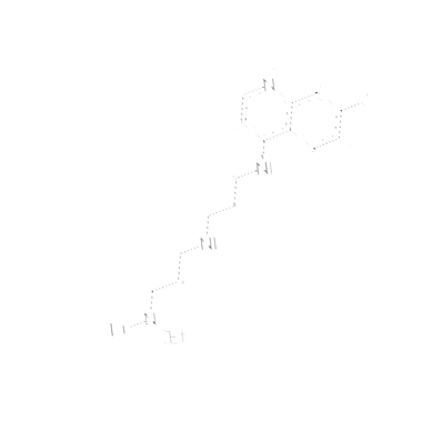 CCN(CC)CCCNCCCNc1ccnc2cc(Cl)ccc12